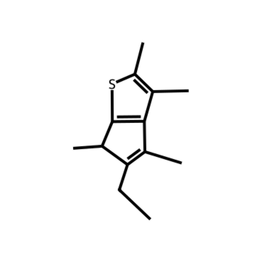 CCC1=C(C)c2c(sc(C)c2C)C1C